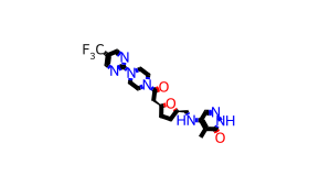 Cc1c(NC[C@H]2CC[C@@H](CC(=O)N3CCN(c4ncc(C(F)(F)F)cn4)CC3)O2)cn[nH]c1=O